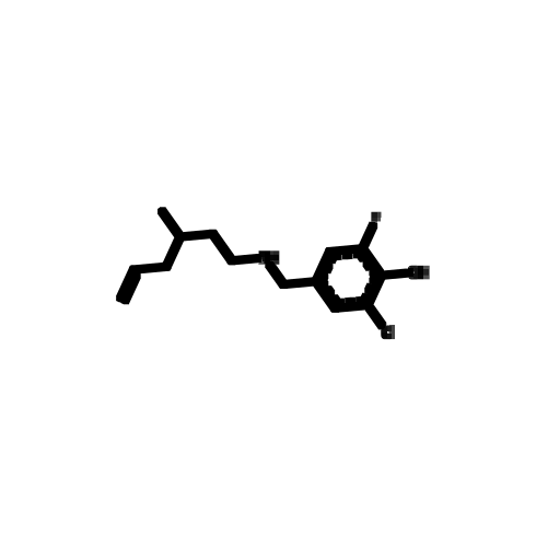 C=CCC(C)CCNCc1cc(F)c(O)c(Cl)c1